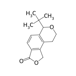 CC(C)(C)C1OCCc2c1ccc1c2COC1=O